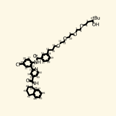 CC(C)(C)C(O)CCOCCOCCOCCOCCCc1cccc(C(=O)Nc2ccc(Cl)cc2-c2cc(C(=O)N[C@H]3CCCc4ccccc43)ccn2)c1